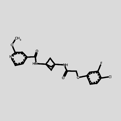 COc1cc(C(=O)NC23CC(NC(=O)COc4ccc(Cl)c(F)c4)(C2)C3)ccn1